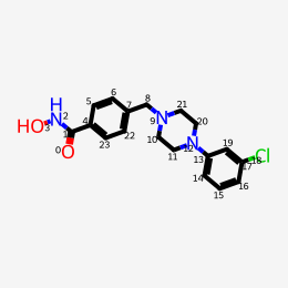 O=C(NO)c1ccc(CN2CCN(c3cccc(Cl)c3)CC2)cc1